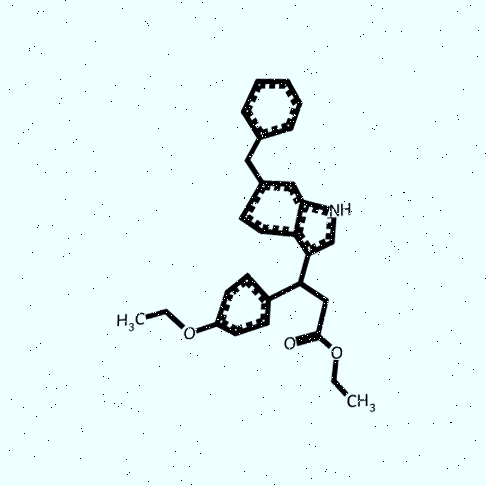 CCOC(=O)CC(c1ccc(OCC)cc1)c1c[nH]c2cc(Cc3ccccc3)ccc12